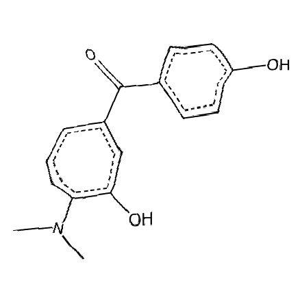 CN(C)c1ccc(C(=O)c2ccc(O)cc2)cc1O